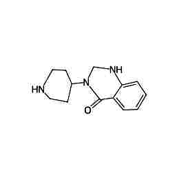 O=C1c2ccccc2NCN1C1CCNCC1